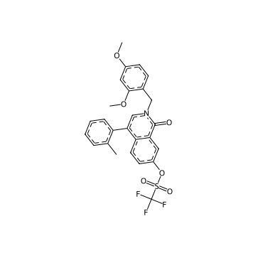 COc1ccc(Cn2cc(-c3ccccc3C)c3ccc(OS(=O)(=O)C(F)(F)F)cc3c2=O)c(OC)c1